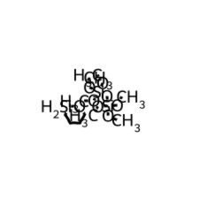 C1CC[SiH2]OC1.CO[Si](OC)(OC)O[Si](OC)(OC)OC